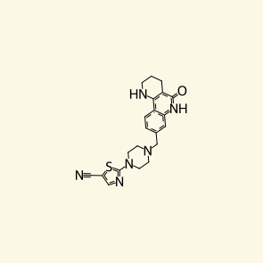 N#Cc1cnc(N2CCN(Cc3ccc4c5c(c(=O)[nH]c4c3)CCCN5)CC2)s1